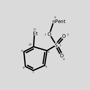 CCCCCOS(=O)(=O)c1ccccc1CC